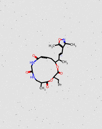 Cc1noc(C)c1/C=C/C(C)C1CC=CC(=O)NCC(=O)NCC(C)C(=O)OC(CC(C)C)C(=O)O1